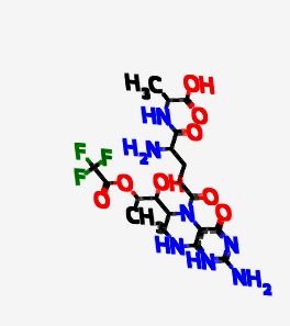 CC(NC(=O)C(N)CCC(=O)N1c2c([nH]c(N)nc2=O)NCC1C(O)C(C)OC(=O)C(F)(F)F)C(=O)O